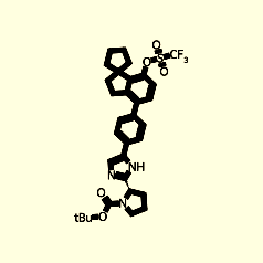 CC(C)(C)OC(=O)N1CCC[C@H]1c1ncc(-c2ccc(-c3ccc(OS(=O)(=O)C(F)(F)F)c4c3CCC43CCCC3)cc2)[nH]1